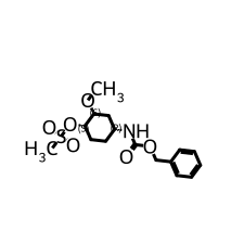 CO[C@H]1C[C@H](NC(=O)OCc2ccccc2)CC[C@@H]1OS(C)(=O)=O